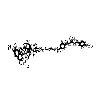 CCC(C)(C)C(=O)O[C@H]1C[C@@H](C)C=C2C=C[C@H](C)[C@H](CC[C@@H]3C[C@@H](OC(=O)OCCSSCCOC(=O)c4ccc(OCC(O)CCc5ccc(C(C)(C)C)cc5)cc4)CC(=O)O3)[C@H]21